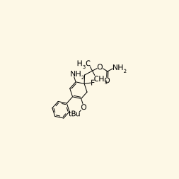 CC(C)(C)OC1=C(c2ccccc2)C=C(N)C(F)(CC(C)(C)OC(N)=O)C1